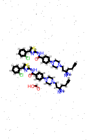 C#CCCC1(CCN2CCN(c3ccc(C(=O)Nc4nc(-c5ccccc5Cl)cs4)cc3)CC2)N=N1.C#CCCC1(CCN2CCN(c3ccc(C(=O)Nc4nc(-c5ccccc5Cl)cs4)cc3)CC2)N=N1.O=CO